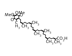 COC1=C(OC)C(=O)C(CC=C(C)CCC=C(C)CCC=C(C)CCC=C(C)CCC=C(C)CCC=C(C)C(=O)O)=C(C)C1=O